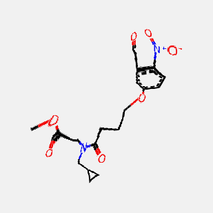 COC(=O)CN(CC1CC1)C(=O)CCCOc1ccc([N+](=O)[O-])c(C=O)c1